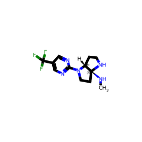 CN[C@@]12CCN(c3ncc(C(F)(F)F)cn3)[C@@H]1CCN2